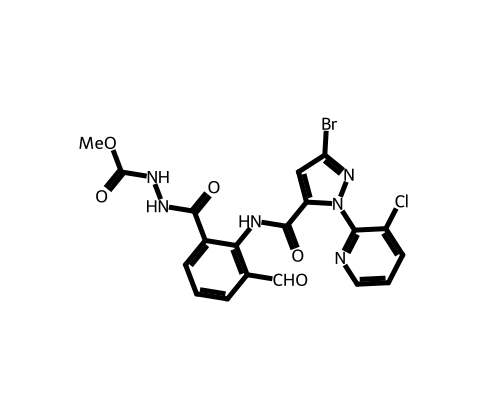 COC(=O)NNC(=O)c1cccc(C=O)c1NC(=O)c1cc(Br)nn1-c1ncccc1Cl